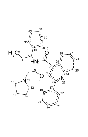 CCC(NC(=O)c1c(OCCN2CCCC2)c(-c2ccccc2)nc2ccccc12)c1ccccc1